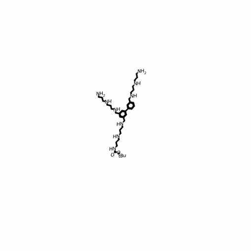 CC(C)(C)OC(=O)NCCCNCCCNCc1cc(CNCCCNCCCN)cc(-c2cccc(CNCCCNCCCN)c2)c1